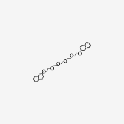 c1ccc2cc(OCCOCCOCCOCCOCCOc3ccc4ccccc4c3)ccc2c1